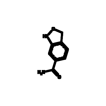 NC(=O)c1ccc2c(c1)BOC2